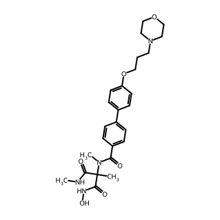 CNC(=O)C(C)(C(=O)NO)N(C)C(=O)c1ccc(-c2ccc(OCCCN3CCOCC3)cc2)cc1